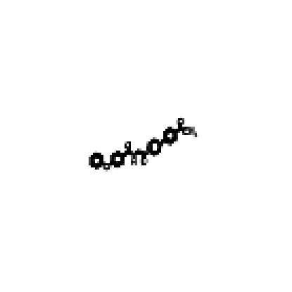 CC(=O)c1ccc(N2CCN(C(=O)CNC(=O)c3ccc(Oc4ccccc4)cc3)CC2)cc1